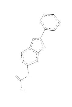 NC(=O)Nc1ccc2cc(-c3ccccc3)[nH]c2c1